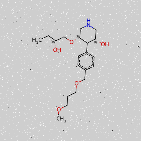 CC[C@@H](O)CO[C@@H]1CNC[C@H](O)C1c1ccc(COCCCOC)cc1